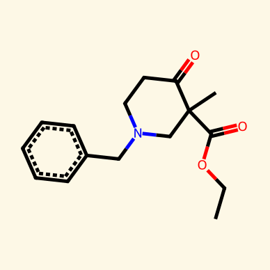 CCOC(=O)C1(C)CN(Cc2ccccc2)CCC1=O